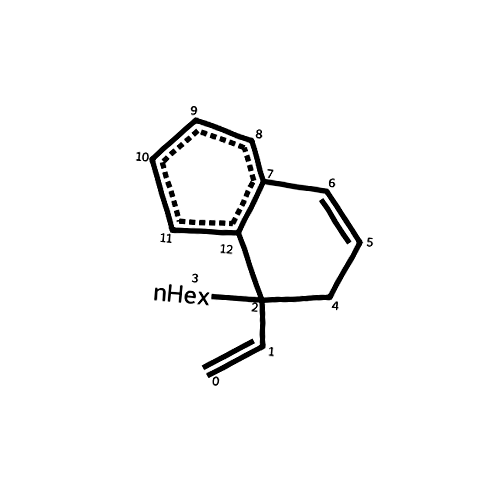 C=CC1(CCCCCC)CC=Cc2ccccc21